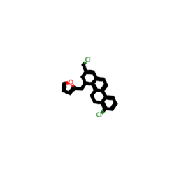 ClCC1=Cc2ccc3c(c2C(Cc2ccco2)C1)CCc1c(Cl)cccc1-3